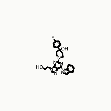 OCCn1cnc2c(-n3ncc4ccccc43)nc(N3CCC(O)(c4ccc(F)cc4)CC3)nc21